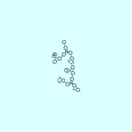 CC1(C)CCC(C)(C)c2cc(-c3cccc(N(c4ccc(-c5ccc6c(c5)C5(c7cc(C8CC(C)(C)c9cc(-c%10cccc(N(c%11ccc(-c%12ccccc%12)cc%11)c%11ccc(-c%12ccc%13c(c%12)C%12(c%14ccccc%14-%13)C%13CC%14CC%15CC%12C%15%13C%14)cc%11)c%10)ccc9C8(C)C)ccc7-6)C6CC7CC8CC5C86C7)cc4)c4ccc5c(c4)C(C)(C)c4ccccc4-5)c3)ccc21